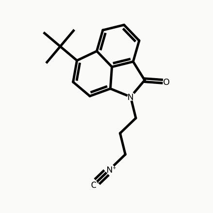 [C-]#[N+]CCCN1C(=O)c2cccc3c(C(C)(C)C)ccc1c23